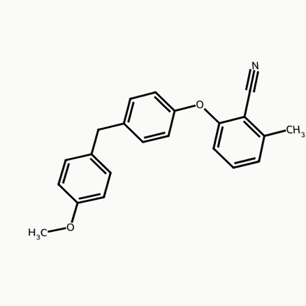 COc1ccc(Cc2ccc(Oc3cccc(C)c3C#N)cc2)cc1